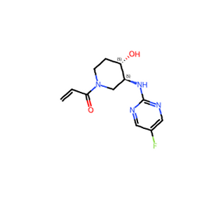 C=CC(=O)N1CC[C@H](O)[C@@H](Nc2ncc(F)cn2)C1